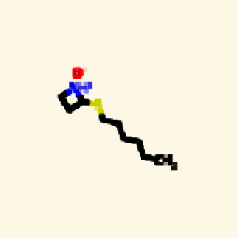 CCCCCCSC1CC[NH+]1[O-]